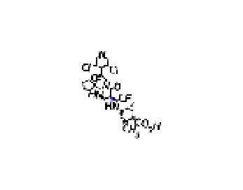 C[C@@H]1C[C@@H](N/C(=C(\C=N)C(=O)N(CC(=O)c2c(Cl)cncc2Cl)CC2(F)CCCC2)C(F)(F)F)CC[C@@H]1C(=O)O